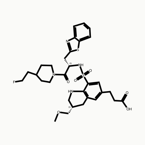 COC[C@@H]1CNc2c(cc(CCC(=O)O)cc2S(=O)(=O)N[C@@H](Cc2nc3ccccc3s2)C(=O)N2CCC(CCF)CC2)C1